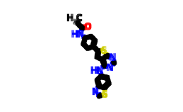 CCC(=O)NC1CC=C(c2cc3c(Nc4ccc5scnc5c4)ncnc3s2)CC1